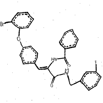 O=C(NCc1cccc(F)c1)/C(=C/c1ccc(Oc2ccccc2Br)cc1)NC(=O)c1ccccc1